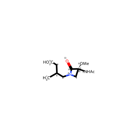 CO[C@]1(NC(C)=O)CN(CC(C)CC(=O)O)C1=O